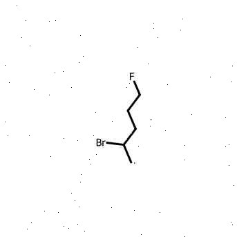 [CH2]C(Br)CCCF